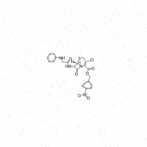 O=C(CNc1ccccc1)NC1C(=O)N2C(C(=O)OCc3ccc([N+](=O)[O-])cc3)=C(Cl)CS[C@@H]12